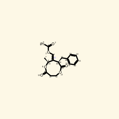 CC(C)C(=O)O/C=C1\[C@H](C)OC(=O)CCOC(=O)[C@@H]1Cc1ccccc1